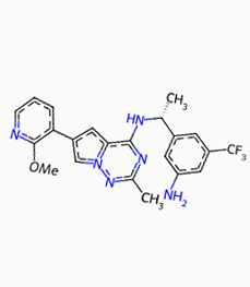 COc1ncccc1-c1cc2c(N[C@H](C)c3cc(N)cc(C(F)(F)F)c3)nc(C)nn2c1